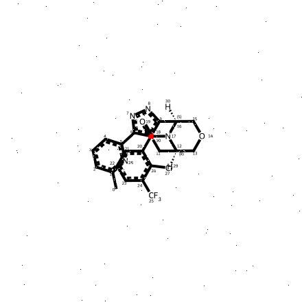 Cc1cccc(-c2nnc3n2C[C@@H]2COC[C@H]3N2C(=O)c2cccc(C(F)(F)F)c2Cl)n1